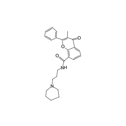 Cc1c(-c2ccccc2)oc2c(C(=O)NCCCN3CCCCC3)cccc2c1=O